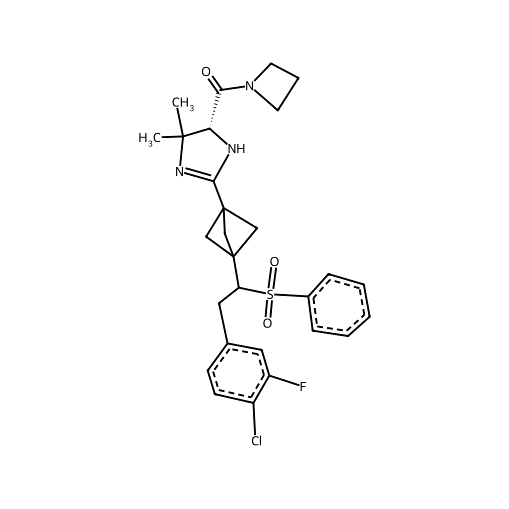 CC1(C)N=C(C23CC(C(Cc4ccc(Cl)c(F)c4)S(=O)(=O)c4ccccc4)(C2)C3)N[C@H]1C(=O)N1CCC1